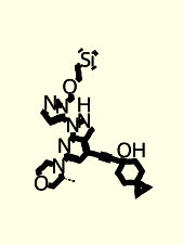 C[C@@H]1COCCN1c1cc(C#CC2(O)CCC3(CC2)CC3)c2c(n1)N(c1ccnn1COCC[Si](C)(C)C)NC2